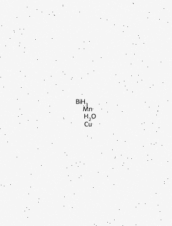 O.[BiH3].[Cu].[Mn]